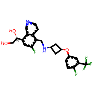 OC[C@H](O)c1cc(F)c(CN[C@H]2C[C@H](Oc3ccc(F)c(C(F)(F)F)c3)C2)c2ccncc12